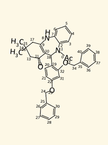 CC(=O)N1c2ccccc2NC2=C(C(=O)CC(C)(C)C2)C1c1ccc(OCc2ccccc2)cc1OCc1ccccc1